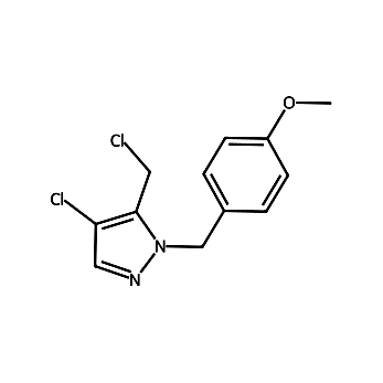 COc1ccc(Cn2ncc(Cl)c2CCl)cc1